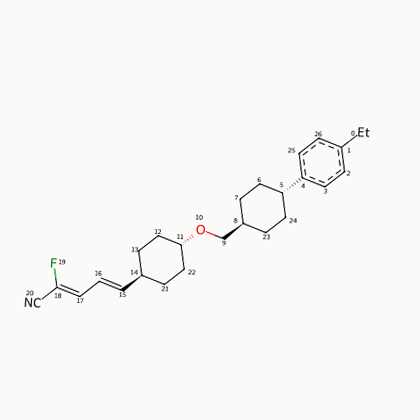 CCc1ccc([C@H]2CC[C@H](CO[C@H]3CC[C@H](C=CC=C(F)C#N)CC3)CC2)cc1